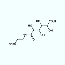 CCCCCCCCCCCNC(=O)C(O)C(O)C(O)C(O)C(=O)O